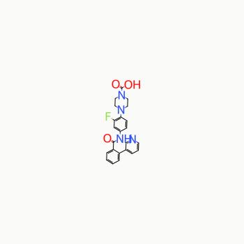 O=C(Nc1ccc(N2CCN(C(=O)O)CC2)c(F)c1)c1ccccc1-c1cccnc1